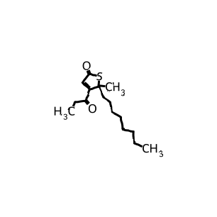 CCCCCCCCC1(C)SC(=O)C=C1C(=O)CC